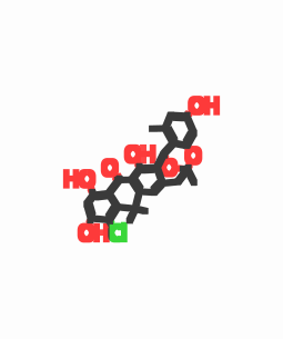 Cc1cc(O)cc2c1C1OC(C)(Cc3cc4c(c(O)c31)C(=O)c1c(O)cc(O)c(Cl)c1C4(C)C)O2